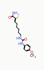 NC(=O)C(F)=CCCCCCNC(=O)Nc1ccc(OC(F)(F)F)cc1